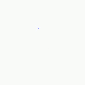 CN(C)CCCC1C2=C(CC=CC2)CCc2ccccc21